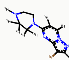 [2H]c1nn2c([2H])c([2H])c(N3CCN([2H])C([2H])([2H])C3([2H])[2H])nc2c1Br